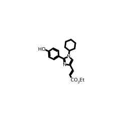 CCOC(=O)/C=C/c1cn(C2CCCCC2)c(-c2ccc(O)cc2)n1